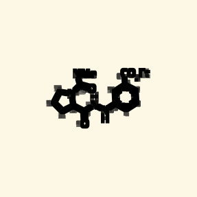 CCOC(=O)c1cccc(NNC(=O)C2CCCN2C(=O)NC)c1